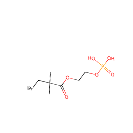 CC(C)CC(C)(C)C(=O)OCCOP(=O)(O)O